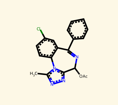 CC(=O)OC1N=C(c2ccccc2)c2cc(Cl)ccc2-n2c(C)nnc21